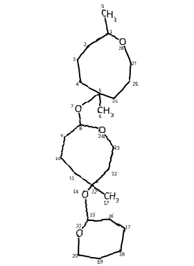 CC1CCCC(C)(OC2CCCC(C)(OC3CCCCCO3)CCO2)CCCO1